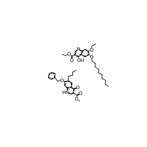 CCCCCCCCCCOc1cc2c(O)c(C(=O)OCC)cnc2cc1OCC.CCCCc1cc2c(=O)c(C(=O)OC)c[nH]c2cc1OCc1ccccc1